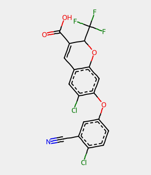 N#Cc1cc(Oc2cc3c(cc2Cl)C=C(C(=O)O)C(C(F)(F)F)O3)ccc1Cl